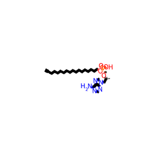 C#CCCCCCCCCCCCCCCCCOP(=O)(O)CO[C@H](C)Cn1cnc2c(N)ncnc21